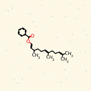 CC(C)=CCC/C(C)=C/CCC(C)/C=C/OC(=O)c1ccccc1